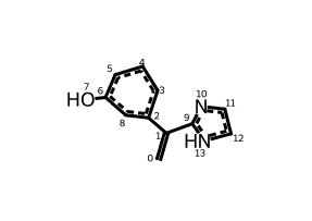 C=C(c1cccc(O)c1)c1ncc[nH]1